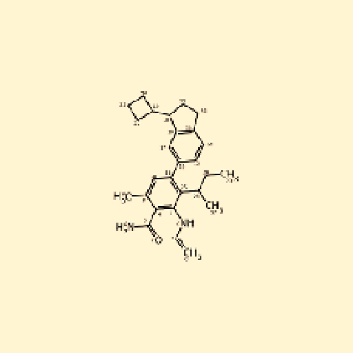 C=CNc1c(C(N)=O)c(C)cc(-c2ccc3c(c2)C(C2CCC2)CC3)c1C(C)CC